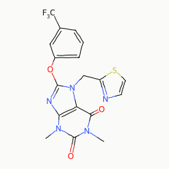 Cn1c(=O)c2c(nc(Oc3cccc(C(F)(F)F)c3)n2Cc2nccs2)n(C)c1=O